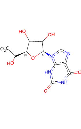 O=C(O)C(O)[C@@H]1O[C@H](n2cnc3c(=O)[nH]c(=O)[nH]c32)C(O)C1O